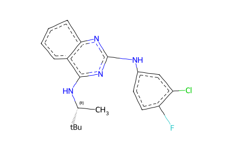 C[C@@H](Nc1nc(Nc2ccc(F)c(Cl)c2)nc2ccccc12)C(C)(C)C